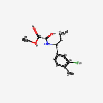 COc1ccc(C(CC(=O)O)NC(=O)C(=O)OC(C)(C)C)cc1F